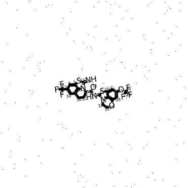 N=c1sc2cc(C(F)(F)F)cc3c2n1[C@H](C(=O)N[C@@H]1Sc2cc(OC(F)(F)F)cc4c2N1CCO4)CC3